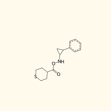 O=C(ONC1CC1c1ccccc1)C1CCSCC1